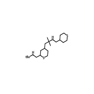 CC(C)(C)NCC1CC(CC(C)(C)NCC2CCSCC2)CCS1